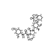 CP(C)(=O)c1ccccc1-c1ccc(N2CC(CO)[C@@H](NC(=O)Nc3ccc(Cl)cc3F)C2=O)c(F)c1F